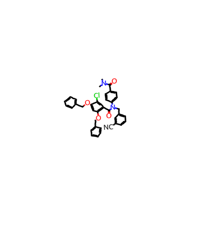 CN(C)C(=O)c1ccc(N(Cc2cccc(C#N)c2)C(=O)c2cc(Cl)c(OCc3ccccc3)cc2OCc2ccccc2)cc1